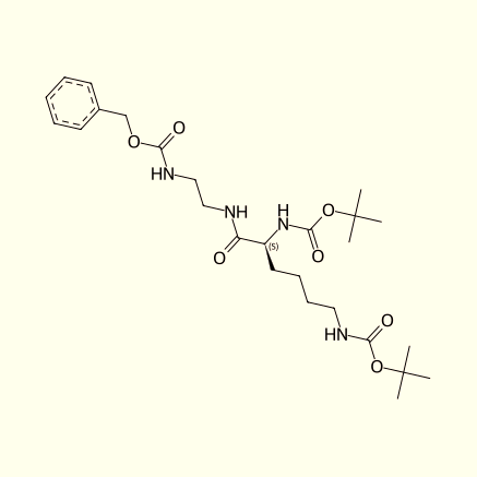 CC(C)(C)OC(=O)NCCCC[C@H](NC(=O)OC(C)(C)C)C(=O)NCCNC(=O)OCc1ccccc1